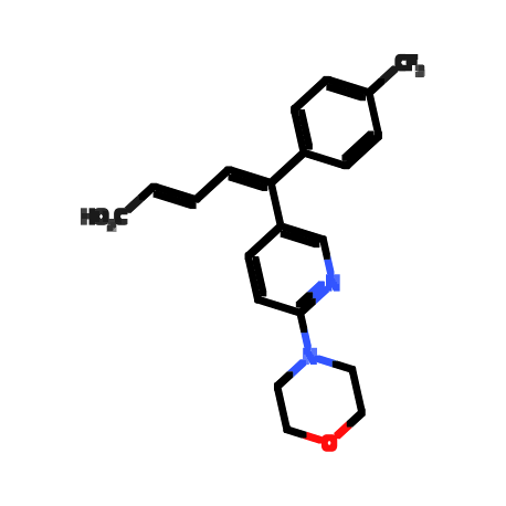 O=C(O)C=CC=C(c1ccc(C(F)(F)F)cc1)c1ccc(N2CCOCC2)nc1